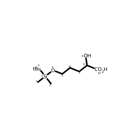 CC(C)(C)[Si](C)(C)OCCCC(O)C(=O)O